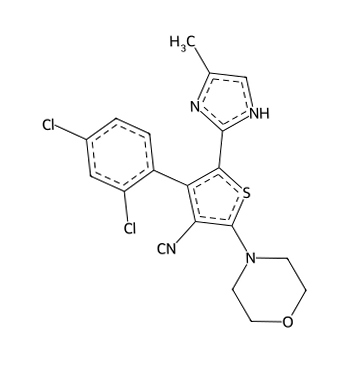 [C-]#[N+]c1c(N2CCOCC2)sc(-c2nc(C)c[nH]2)c1-c1ccc(Cl)cc1Cl